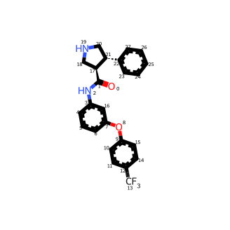 O=C(Nc1cccc(Oc2ccc(C(F)(F)F)cc2)c1)[C@H]1CNC[C@@H]1c1ccccc1